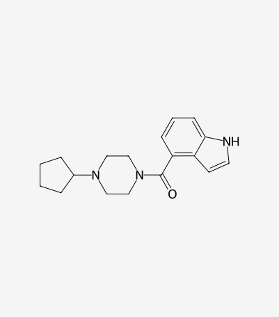 O=C(c1cccc2[nH]ccc12)N1CCN(C2CCCC2)CC1